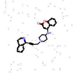 O=c1cc(NC2CCN(CC#Cc3nccc4ccccc34)CC2)c2ccccc2o1